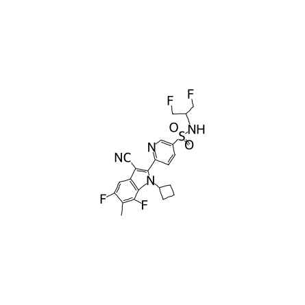 Cc1c(F)cc2c(C#N)c(-c3ccc(S(=O)(=O)NC(CF)CF)cn3)n(C3CCC3)c2c1F